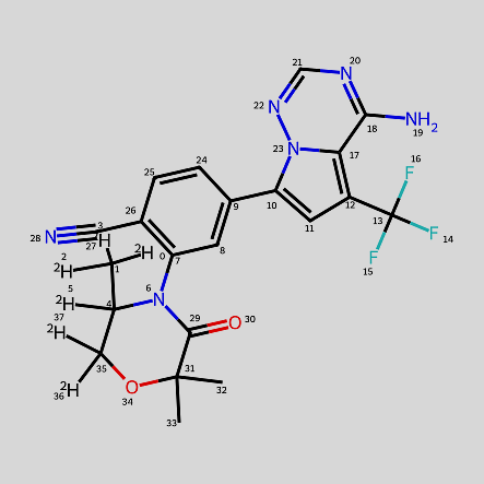 [2H]C([2H])([2H])C1([2H])N(c2cc(-c3cc(C(F)(F)F)c4c(N)ncnn34)ccc2C#N)C(=O)C(C)(C)OC1([2H])[2H]